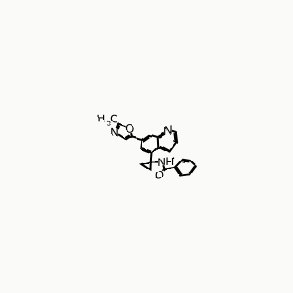 Cc1ncc(-c2cc(C3(NC(=O)c4ccccc4)CC3)c3cccnc3c2)o1